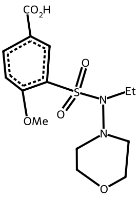 CCN(N1CCOCC1)S(=O)(=O)c1cc(C(=O)O)ccc1OC